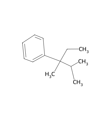 CCC(C)(c1ccccc1)C(C)C